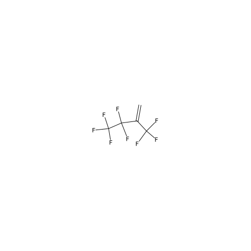 C=C(C(F)(F)F)C(F)(F)C(F)(F)F